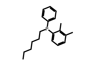 CCCCCCP(c1ccccc1)c1cccc(C)c1C